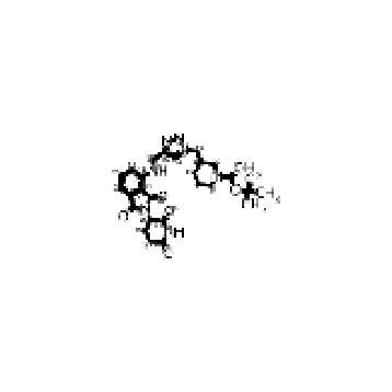 CC(C)(C)OC(=O)N1CCCC(Cn2cc(CNc3cccc4c3C(=O)N(C3CCC(=O)NC3=O)C4=O)nn2)C1